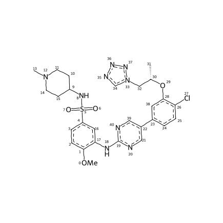 COc1ccc(S(=O)(=O)NC2CCN(C)CC2)cc1Nc1ncc(-c2ccc(Cl)c(O[C@@H](C)Cn3cnnn3)c2)cn1